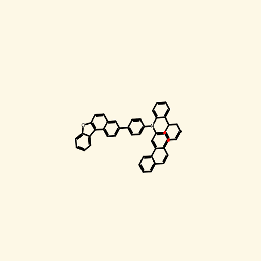 C1=CCC(c2ccccc2N(c2ccc(-c3ccc4c(ccc5oc6ccccc6c54)c3)cc2)c2ccc3ccc4ccccc4c3c2)C=C1